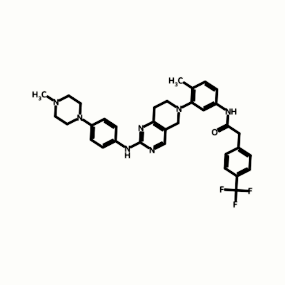 Cc1ccc(NC(=O)Cc2ccc(C(F)(F)F)cc2)cc1N1CCc2nc(Nc3ccc(N4CCN(C)CC4)cc3)ncc2C1